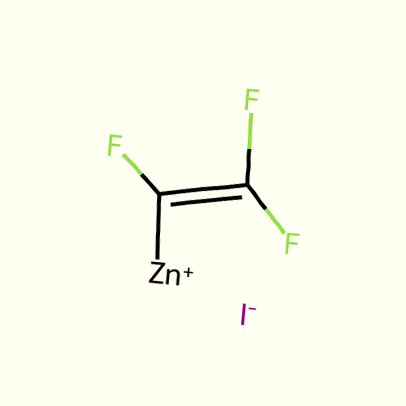 FC(F)=[C](F)[Zn+].[I-]